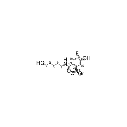 O=C(NCCCCCO)c1cc(F)c(O)cc1[N+](=O)[O-]